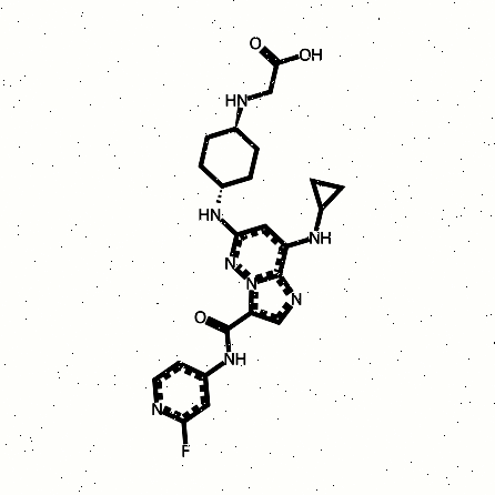 O=C(O)CN[C@H]1CC[C@H](Nc2cc(NC3CC3)c3ncc(C(=O)Nc4ccnc(F)c4)n3n2)CC1